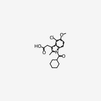 COc1ccc2c(c1Cl)c(CC(=O)O)c(C)n2C(=O)C1CCCCC1